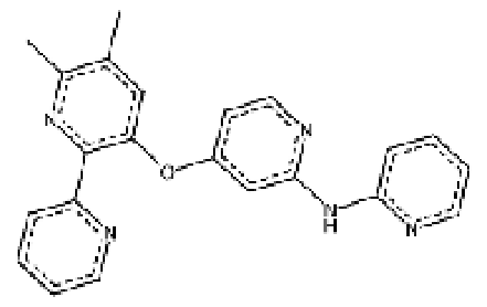 Cc1cc(Oc2ccnc(Nc3ccccn3)c2)c(-c2ccccn2)nc1C